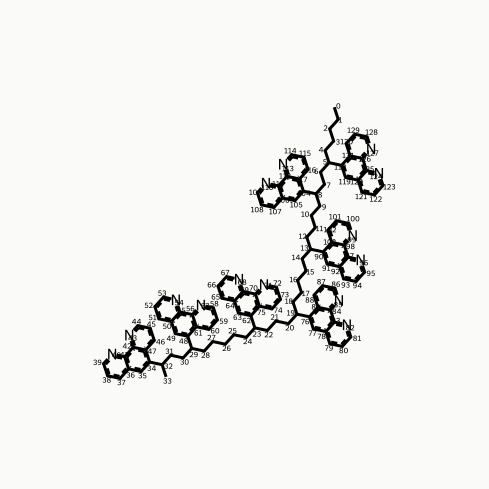 CCCCCC(CCC(CCCCC(CCCCCC(CCCC(CCCCCC(CCC(C)c1cc2cccnc2c2ncccc12)c1cc2cccnc2c2ncccc12)c1cc2cccnc2c2ncccc12)c1cc2cccnc2c2ncccc12)c1cc2cccnc2c2ncccc12)c1cc2cccnc2c2ncccc12)c1cc2cccnc2c2ncccc12